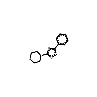 c1ccc(-c2noc(N3CCOCC3)n2)cc1